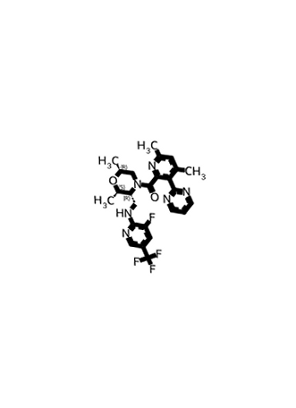 Cc1cc(C)c(-c2ncccn2)c(C(=O)N2C[C@@H](C)O[C@@H](C)[C@H]2CNc2ncc(C(F)(F)F)cc2F)n1